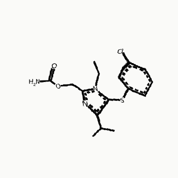 CCn1c(COC(N)=O)nc(C(C)C)c1Sc1cccc(Cl)c1